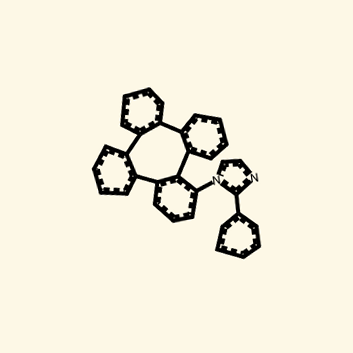 c1ccc(-c2nccn2-c2cccc3c2-c2ccccc2-c2ccccc2-c2ccccc2-3)cc1